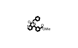 COC(=O)c1cccc(-c2nn(Cc3ccccc3)c(=O)c3ncccc23)c1